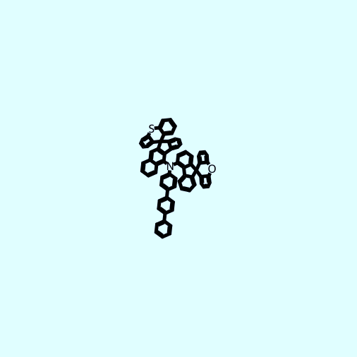 c1ccc(-c2ccc(-c3ccc(N(c4cccc5c4-c4ccccc4C54c5ccccc5Oc5ccccc54)c4c5c(cc6ccccc46)C4(c6ccccc6Sc6ccccc64)c4ccccc4-5)cc3)cc2)cc1